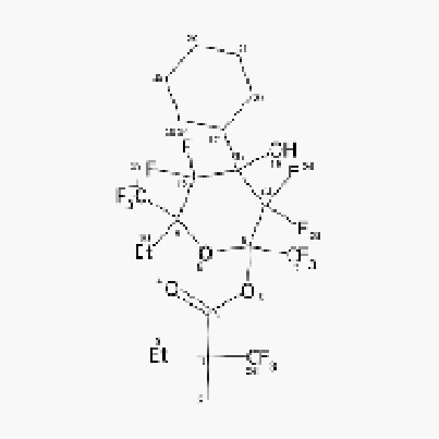 CCC(C)(C(=O)OC1(C(F)(F)F)OC(CC)(C(F)(F)F)C(F)(F)C(O)(C2CCCCC2)C1(F)F)C(F)(F)F